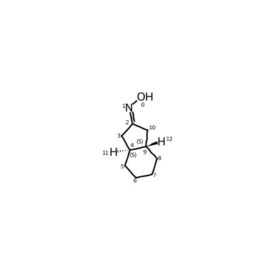 ON=C1C[C@@H]2CCCC[C@H]2C1